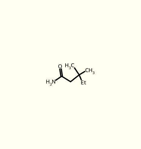 CCC(C)(C)CC(N)=O